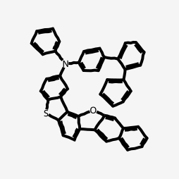 c1ccc(-c2ccccc2-c2ccc(N(c3ccccc3)c3ccc4sc5ccc6c7cc8ccccc8cc7oc6c5c4c3)cc2)cc1